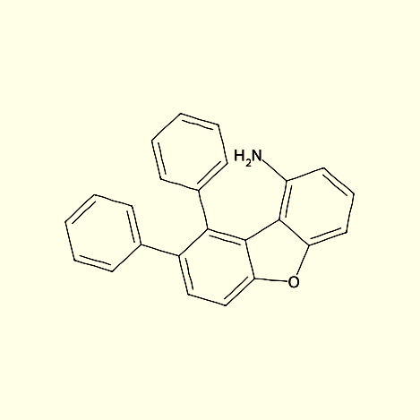 Nc1cccc2oc3ccc(-c4ccccc4)c(-c4ccccc4)c3c12